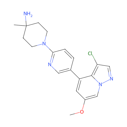 COc1cc(-c2ccc(N3CCC(C)(N)CC3)nc2)c2c(Cl)cnn2c1